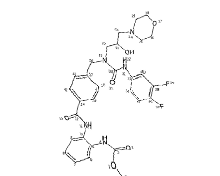 CC(C)(C)OC(=O)Nc1ccccc1NC(=O)c1ccc(CN(CC(O)CN2CCOCC2)C(=O)Nc2ccc(F)c(F)c2)cc1